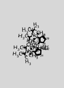 CC(C)N(C(C)C)[Si](C)(C)C1=[C]([Zr][C]2=C([Si](C)(C)N(C(C)C)C(C)C)C=CC2)CC=C1.Cl.Cl